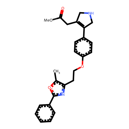 COC(=O)CC1=C(c2ccc(OCCc3nc(-c4ccccc4)oc3C)cc2)CNC1